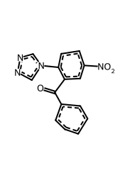 O=C(c1ccccc1)c1cc([N+](=O)[O-])ccc1-n1cnnc1